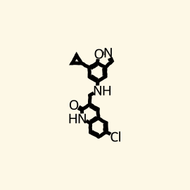 O=c1[nH]c2ccc(Cl)cc2cc1CNc1cc(C2CC2)c2oncc2c1